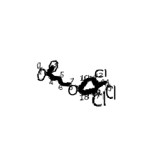 COC(=O)CCCCOc1cc(Cl)c(CCl)c(Cl)c1